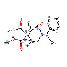 COC(=O)[C@H]1[C@H]2C[C@H](CN(C(C)c3ccccc3)C2=O)N1C(=O)OC(C)(C)C